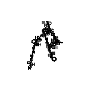 CCCC1O[C@@H]2CC3[C@@H]4CCC5=CC(=O)C=C[C@]5(C)C4[C@@H](O)C[C@]3(C)[C@]2(C(=O)CNC(=O)OCc2ccc(NC(=O)[C@H](CCCNC(N)=O)NC(=O)[C@@H](NC(=O)[C@@H](CCCCNC(=O)COC3CCCCC/C(NCCOCCOCCOCCOCCC(=O)NCC[N+](C)(C)C)=C\3N=N)NC(=O)CCOCCOCCOCCOCCNC(=O)COC3C#CCCCCC3)C(C)C)cc2)O1